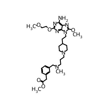 COCCOc1nc(N)c2nc(OC)n(CCC3CCN(CCCN(C)Cc4cccc(CC(=O)OC)c4)CC3)c2n1